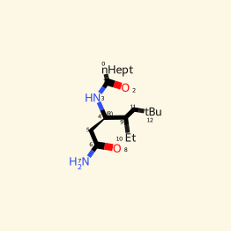 CCCCCCCC(=O)N[C@H](CC(N)=O)C(CC)CC(C)(C)C